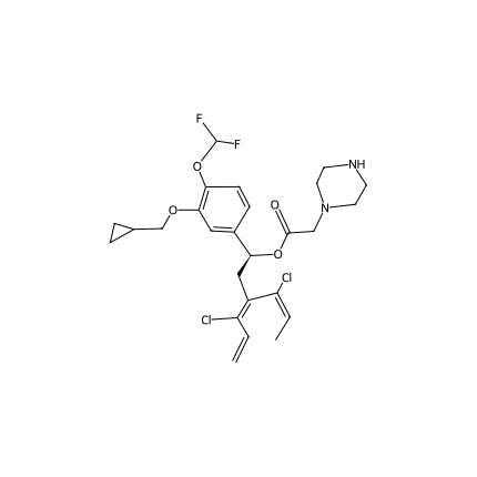 C=C/C(Cl)=C(C[C@H](OC(=O)CN1CCNCC1)c1ccc(OC(F)F)c(OCC2CC2)c1)\C(Cl)=C/C